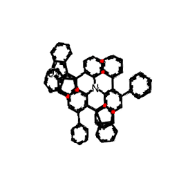 c1ccc(-c2cc3c(c(N(c4ccccc4-c4cccc5oc6ccccc6c45)c4c5c(cc(-c6ccccc6)c4-c4ccccc4)-c4ccccc4C5)c2-c2ccccc2)Cc2ccccc2-3)cc1